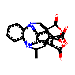 C=C1/C=C2/C(=O)OC(=O)/C2=C/n2c3ccccc3n1c1cc3c(=O)oc(=O)c3cc12